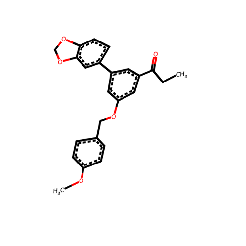 CCC(=O)c1cc(OCc2ccc(OC)cc2)cc(-c2ccc3c(c2)OCO3)c1